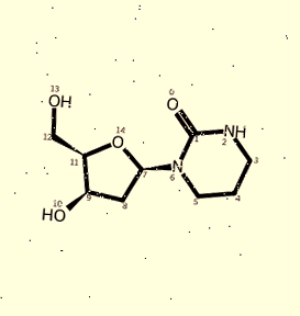 O=C1NCCCN1[C@H]1C[C@@H](O)[C@@H](CO)O1